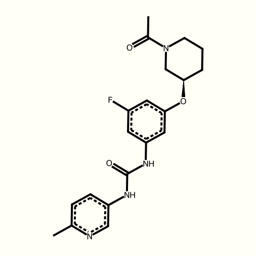 CC(=O)N1CCC[C@@H](Oc2cc(F)cc(NC(=O)Nc3ccc(C)nc3)c2)C1